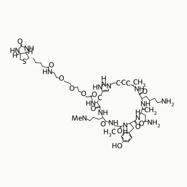 C=C1NC(CCCCN)C(=O)N[C@H](C)CCCCN2C=C(C[C@H](NC(=O)COCCOCCOCCNC(=O)CCCC[C@@H]3SC[C@@H]4NC(=O)N[C@@H]43)C(=O)NC(CCCNC)C(=O)N[C@@H](C)C(=O)NC(Cc3ccc(O)cc3)C(=O)NC1CC(N)=O)NN2